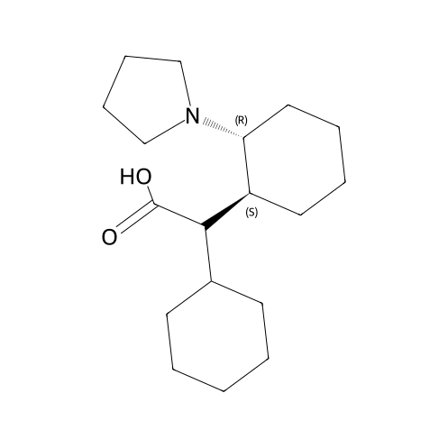 O=C(O)C(C1CCCCC1)[C@@H]1CCCC[C@H]1N1CCCC1